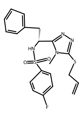 C=CCSc1nnc([C@@H](Cc2ccccc2)NS(=O)(=O)c2ccc(F)cc2)n1C